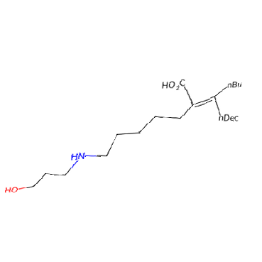 CCCCCCCCCCC(CCCC)=C(CCCCCNCCCO)C(=O)O